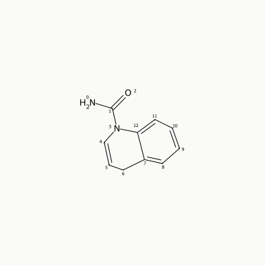 NC(=O)N1C=CCc2ccccc21